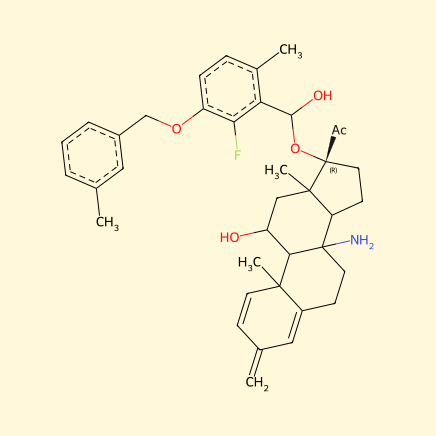 C=C1C=CC2(C)C(=C1)CCC1(N)C2C(O)CC2(C)C1CC[C@]2(OC(O)c1c(C)ccc(OCc2cccc(C)c2)c1F)C(C)=O